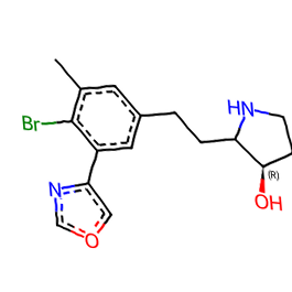 Cc1cc(CCC2NCC[C@H]2O)cc(-c2cocn2)c1Br